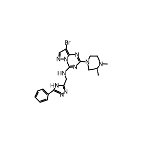 C[C@H]1CN(c2nc(NCc3nnc(-c4ccccc4)[nH]3)n3ncc(Br)c3n2)CCN1C